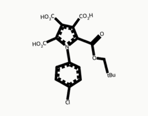 CC(C)(C)COC(=O)c1c(C(=O)O)c(C(=O)O)c(C(=O)O)n1-c1ccc(Cl)cc1